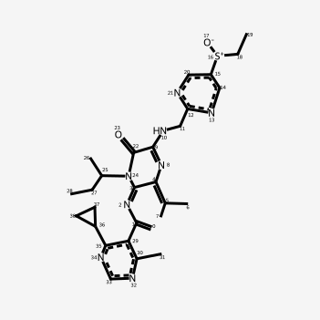 C=C(/N=C1\C(=C(C)C)N=C(NCc2ncc([S+]([O-])CC)cn2)C(=O)N1C(C)CC)c1c(C)ncnc1C1CC1